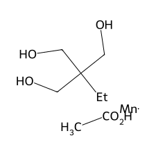 CC(=O)O.CCC(CO)(CO)CO.[Mn]